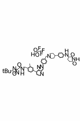 Cc1cc(-c2ccnc3cn(-c4ccc(CN5CCC(c6ccc(NC7CCC(=O)NC7=O)cc6)CC5)cc4)nc23)ccc1CNC(=O)c1noc(C(C)(C)C)n1.O=C(O)C(F)(F)F